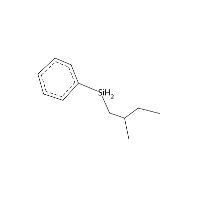 CCC(C)C[SiH2]c1ccccc1